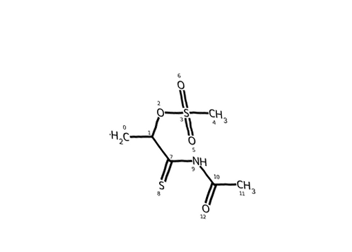 [CH2]C(OS(C)(=O)=O)C(=S)NC(C)=O